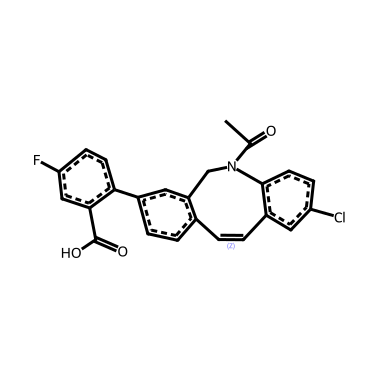 CC(=O)N1Cc2cc(-c3ccc(F)cc3C(=O)O)ccc2/C=C\c2cc(Cl)ccc21